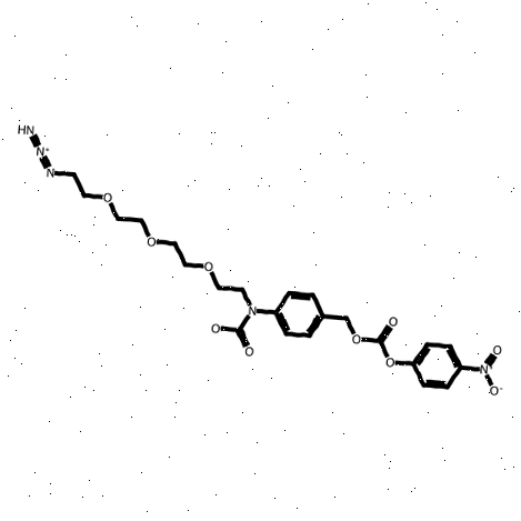 N=[N+]=NCCOCCOCCOCCN(C(=O)[O-])c1ccc(COC(=O)Oc2ccc([N+](=O)[O-])cc2)cc1